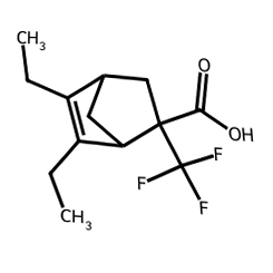 CCC1=C(CC)C2CC1CC2(C(=O)O)C(F)(F)F